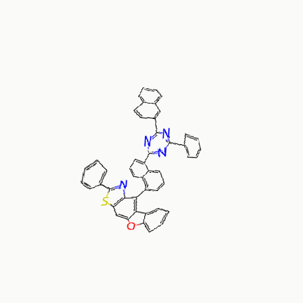 c1ccc(-c2nc(-c3ccc4ccccc4c3)nc(-c3cccc4c(-c5c6nc(-c7ccccc7)sc6cc6oc7ccccc7c56)cccc34)n2)cc1